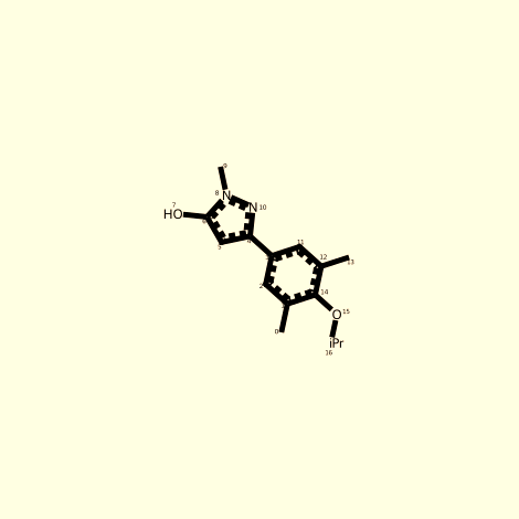 Cc1cc(-c2cc(O)n(C)n2)cc(C)c1OC(C)C